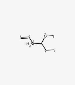 C=C[SiH2]C(CC)OC